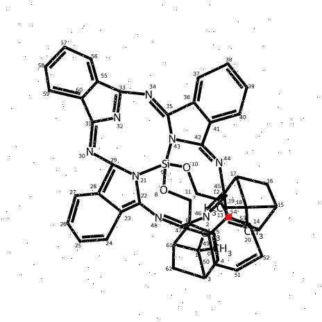 CC1(C)C2CCC(CO[Si]3(OCC4CCC5CC4C5(C)C)n4c5c6ccccc6c4/N=C4N=C(/N=c6/c7ccccc7/c(n63)=N/C3=NC(=N\5)/c5ccccc53)c3ccccc3\4)C1C2